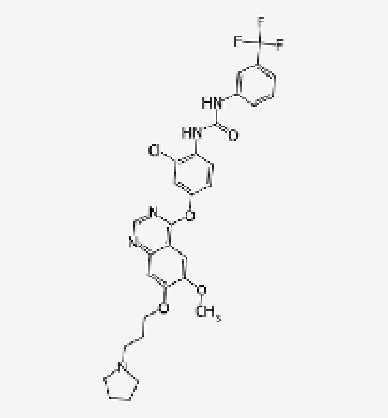 COc1cc2c(Oc3ccc(NC(=O)Nc4cccc(C(F)(F)F)c4)c(Cl)c3)ncnc2cc1OCCCN1CCCC1